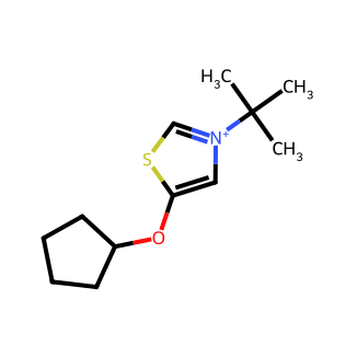 CC(C)(C)[n+]1csc(OC2CCCC2)c1